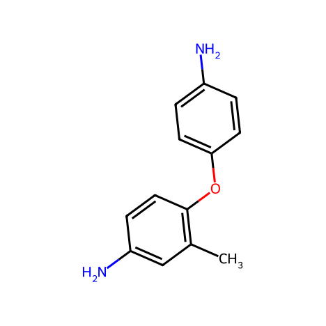 Cc1cc(N)ccc1Oc1ccc(N)cc1